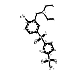 CCN(CC)Cc1cc(S(=O)(=O)c2ccc(S(N)(=O)=O)s2)ccc1O